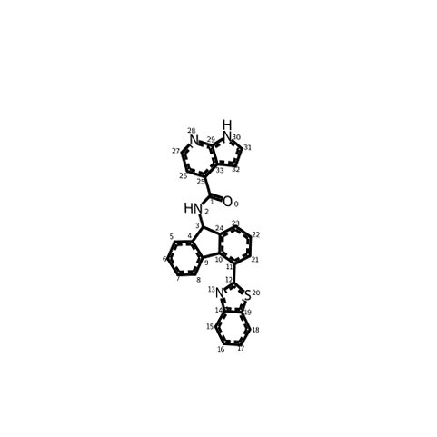 O=C(NC1c2ccccc2-c2c(-c3nc4ccccc4s3)cccc21)c1ccnc2[nH]ccc12